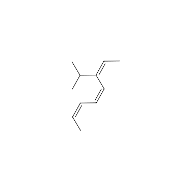 C\C=C/C=C\C(=C/C)C(C)C